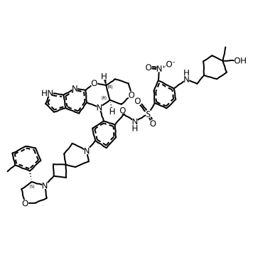 Cc1ccccc1[C@H]1COCCN1C1CC2(CCN(c3ccc(C(=O)NS(=O)(=O)c4ccc(NCC5CCC(C)(O)CC5)c([N+](=O)[O-])c4)c(N4c5cc6cc[nH]c6nc5O[C@@H]5CCOC[C@H]54)c3)CC2)C1